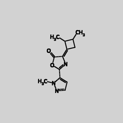 CC1CC(=C2N=C(c3ccnn3C)OC2=O)C1C